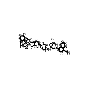 CO[C@@](C(=O)N1Cc2nc(N3CCN(C[C@H]4CN(c5ccc(C#N)c6ncccc56)C[C@@H](C)O4)CC3)ccc2[C@H]1C)(c1ccccc1)C(F)(F)F